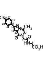 C[C@H]1CN(CC(=O)NCC(=O)O)C(=O)c2cc(-c3ccc(Cl)cc3)nn21